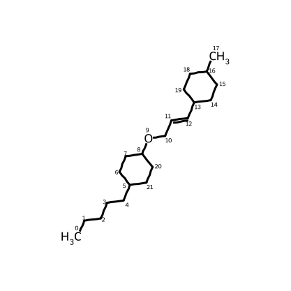 CCCCCC1CCC(OCC=CC2CCC(C)CC2)CC1